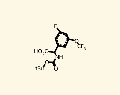 CC(C)(C)OC(=O)NC(C(=O)O)c1cc(F)cc(OC(F)(F)F)c1